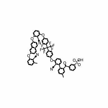 Cc1ccc(-c2cccc(Oc3ccc(C(c4ccc(Oc5cccc(Oc6ccc7ccc(Oc8cccc(C)c8C#N)cc7c6)c5C#N)cc4)(C(F)(F)F)C(F)(F)F)cc3)c2C#N)c(C(=O)c2cccc(S(=O)(=O)O)c2)c1